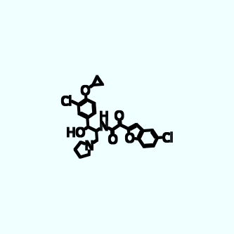 O=C(NC(CN1CCCC1)C(O)c1ccc(OC2CC2)c(Cl)c1)C(=O)c1cc2cc(Cl)ccc2o1